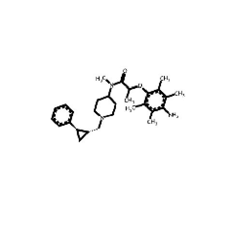 Cc1c(C)c(OC(C)C(=O)N(C)C2CCN(C[C@@H]3C[C@H]3c3ccccc3)CC2)c(C)c(C)c1N